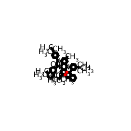 Cc1cc2c3c(c1)N(c1ccc(C(C)(C)C)cc1)c1oc4c(c1B3c1cc(C(C)(C)C)ccc1N2c1ccc(C(C)(C)C)cc1-c1cccc2ccccc12)CC1C(=C4)C(C)(C)CCC1(C)C